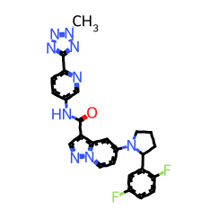 Cn1nnc(-c2ccc(NC(=O)c3cnn4ccc(N5CCCC5c5cc(F)ccc5F)cc34)cn2)n1